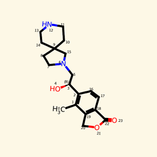 Cc1c([C@@H](O)CN2CCC3(CCNCC3)C2)ccc2c1COC2=O